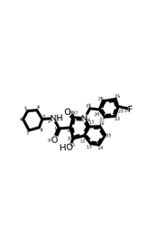 O=C(NC1CCCCC1)c1c(O)c2ccccc2n(Cc2ccc(F)cc2)c1=O